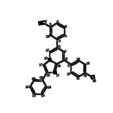 N#Cc1cccc(-c2cc(-c3ccc(Cl)cc3)c3nc(-c4ccccc4)cn3c2)c1